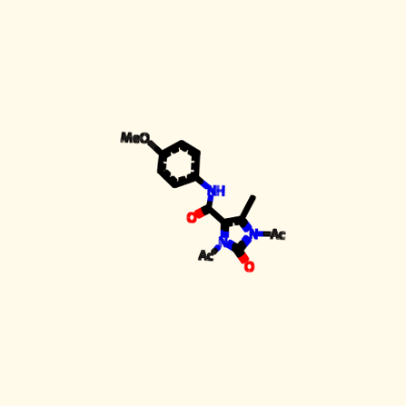 COc1ccc(NC(=O)c2c(C)n(C(C)=O)c(=O)n2C(C)=O)cc1